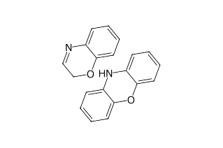 C1=Nc2ccccc2OC1.c1ccc2c(c1)Nc1ccccc1O2